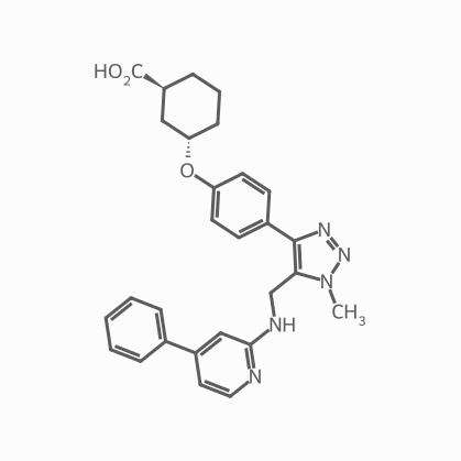 Cn1nnc(-c2ccc(O[C@H]3CCC[C@H](C(=O)O)C3)cc2)c1CNc1cc(-c2ccccc2)ccn1